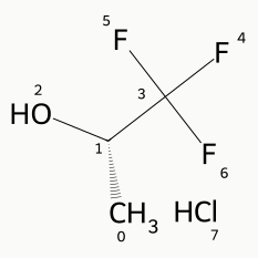 C[C@H](O)C(F)(F)F.Cl